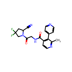 Cc1nccc(C(=O)NCC(=O)N2CC(F)(F)CC2C#N)c1-c1ccncc1